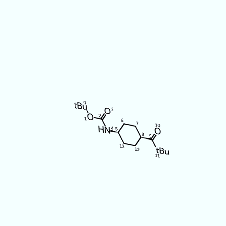 CC(C)(C)OC(=O)N[C@H]1CC[C@@H](C(=O)C(C)(C)C)CC1